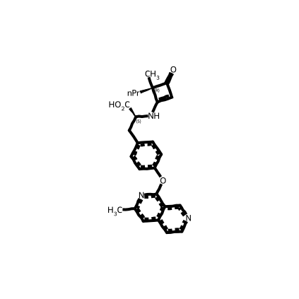 CCC[C@@]1(C)C(=O)C=C1N[C@@H](Cc1ccc(Oc2nc(C)cc3ccncc23)cc1)C(=O)O